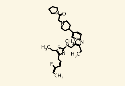 C/C=C(F)\C=C/Cc1nc(N(C)Cc2c(CC)nc3ccc(C4CCN(CC(=O)N5CCCC5)CC4)cn23)sc1CC